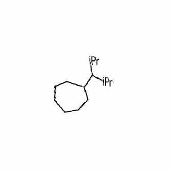 C[C](C)C(C(C)C)C1CCCCCC1